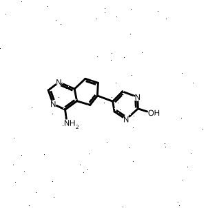 Nc1ncnc2ccc(-c3cnc(O)nc3)cc12